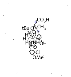 COc1ccc(C[C@H]2NC(C(C)(C)C(=O)N[C@@H](CC(C)(C)C)C(=O)O[C@@H](C/C=C/C(=O)O)[C@H](C)/C=C/c3ccc(CO)cc3)NC2=O)cc1Cl